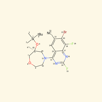 CC(C)(C)[Si](C)(C)O[C@]1(C)COCCN(c2nc(F)nc3c(F)c(Br)c(C#N)cc23)C1